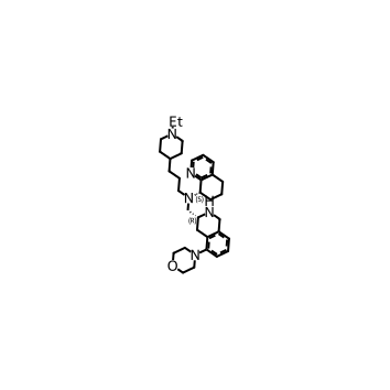 CCN1CCC(CCCN(C[C@H]2Cc3c(cccc3N3CCOCC3)CN2)[C@H]2CCCc3cccnc32)CC1